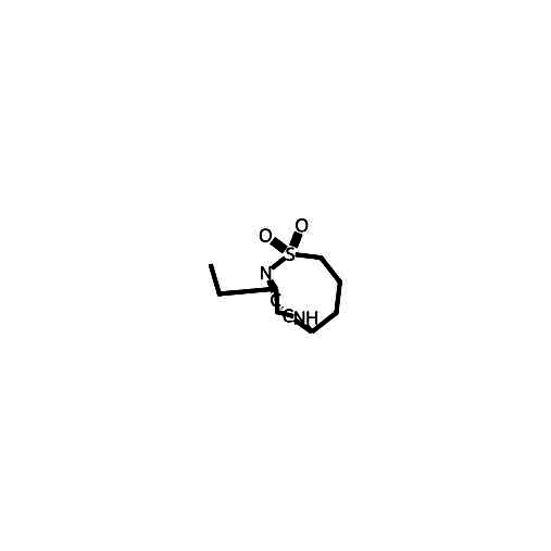 CCC1CNC2CCCS(=O)(=O)N1CC2